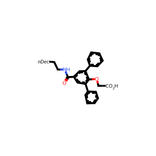 CCCCCCCCCCCCNC(=O)c1cc(-c2ccccc2)c(OCC(=O)O)c(-c2ccccc2)c1